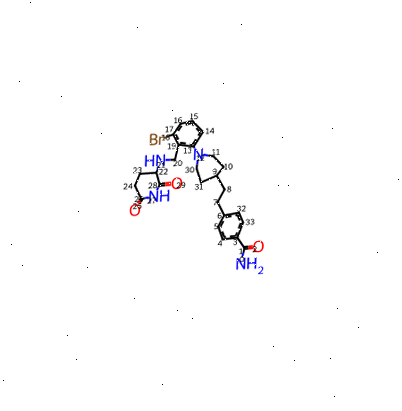 NC(=O)c1ccc(CCC2CCN(c3cccc(Br)c3CNC3CCC(=O)NC3=O)CC2)cc1